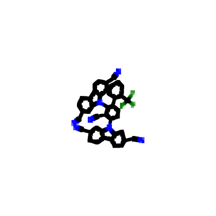 N#Cc1ccc2c3ccc(C#N)cc3n(-c3ccc(-c4ccccc4C(F)(F)F)c(-n4c5cc(C#N)ccc5c5ccc(C#N)cc54)c3C#N)c2c1